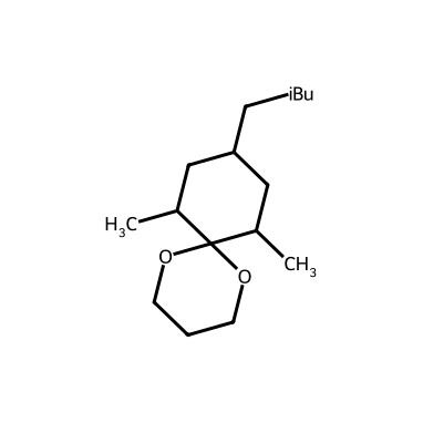 CCC(C)CC1CC(C)C2(OCCCO2)C(C)C1